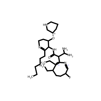 CCCCCCC1=NCCC(O[C@H]2CCCNC2)C1NC(=O)C(C1=C(\CC)C(CC)CCC(F)/C=N\1)C(N)N